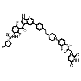 O=C(Cn1ccc(=O)[nH]c1=O)Nc1ccc(N2CCN(CCc3ccc(-c4cnc5[nH]cc(C(=O)c6c(F)ccc(N[S+]([O-])N7CCC(F)C7)c6F)c5c4)cc3)CC2)cc1F